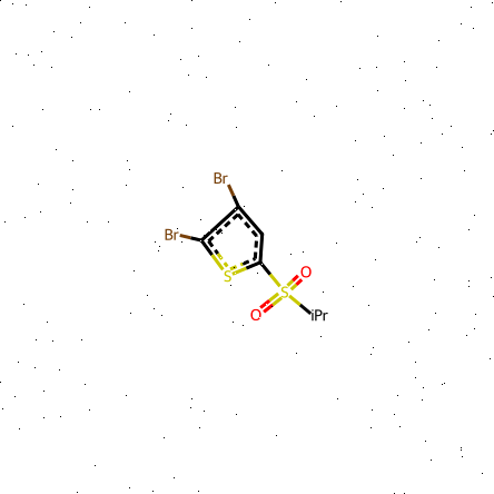 CC(C)S(=O)(=O)c1cc(Br)c(Br)s1